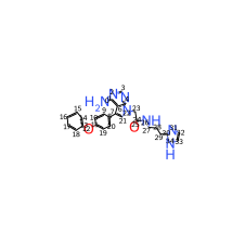 Nc1ncnc2c1c(-c1ccc(Oc3ccccc3)cc1)cn2CC(=O)NCCCc1ncc[nH]1